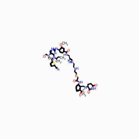 CCC(C)N(Cc1ccc(C#N)s1)c1nc(Nc2ccc(C(=O)NCc3cn(CCNCCOCC(=O)Nc4cccc(C=O)c4CN(C)C4CCC(=O)NC4=O)nn3)cc2OC)ncc1N(C)C=O